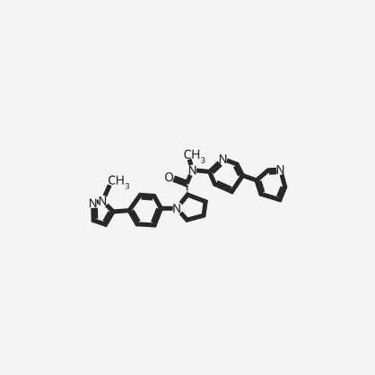 CN(C(=O)[C@@H]1CCCN1c1ccc(-c2ccnn2C)cc1)c1ccc(-c2cccnc2)cn1